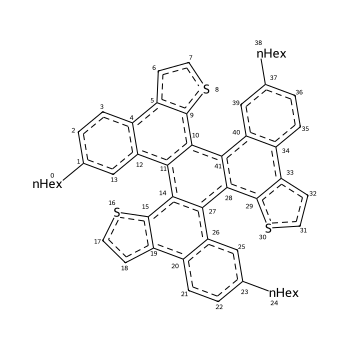 CCCCCCc1ccc2c3ccsc3c3c(c2c1)c1c2sccc2c2ccc(CCCCCC)cc2c1c1c2sccc2c2ccc(CCCCCC)cc2c31